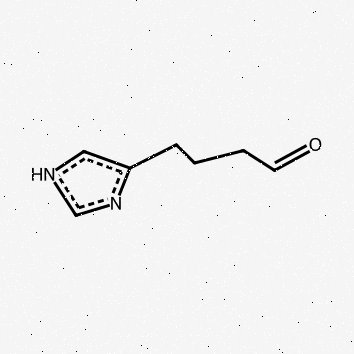 O=CCCCc1c[nH]cn1